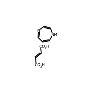 C1=CNC=CN=C1.O=C(O)/C=C/C(=O)O